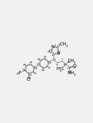 Cc1noc(C(CCC(C)(C)C(N)=O)c2ccc(-c3ccc(F)c(Cl)c3)cc2)n1